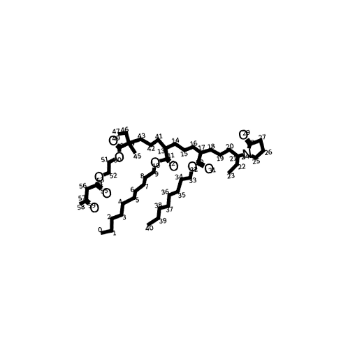 CCCCCCCCCCOC(=O)C(CCCC(CCCC(CC)N1CCCC1=O)C(=O)OCCCCCCCC)CCCC(C)(CC)C(=O)OCCOC(=O)CC(C)=O